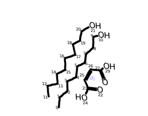 CCCCCCCCCCO.CCCCCCCCCCO.O=C(O)/C=C\C(=O)O